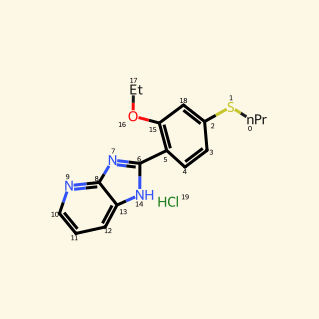 CCCSc1ccc(-c2nc3ncccc3[nH]2)c(OCC)c1.Cl